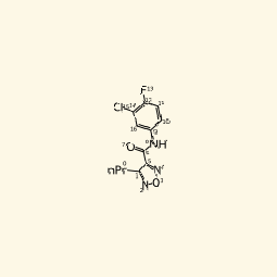 [CH2]CCc1nonc1C(=O)Nc1ccc(F)c(Cl)c1